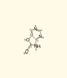 O=c1[nH]c2ncncc2o1